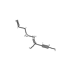 C=CCO/N=C(\C)C#CC